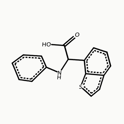 O=C(O)C(Nc1ccccc1)c1cccc2ccsc12